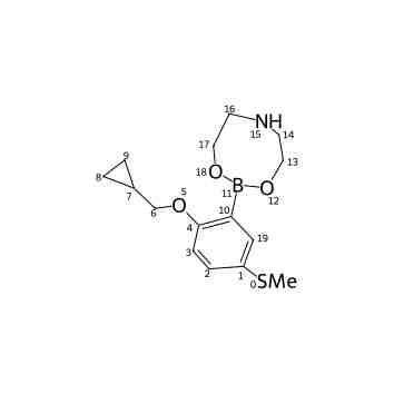 CSc1ccc(OCC2CC2)c(B2OCCNCCO2)c1